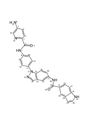 Nc1ccc(C(=O)Nc2ccc(-n3ncc4cc(NC(=O)c5ccc6[nH]ccc6c5)ccc43)cc2)nc1